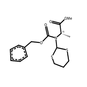 COC(=O)[C@H](C)N(C(=O)OCc1ccccc1)C1SCCCS1